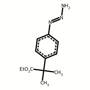 CCOC(=O)C(C)(C)c1ccc(N=NN)cc1